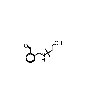 CC(C)(CCO)NCc1ccccc1C=O